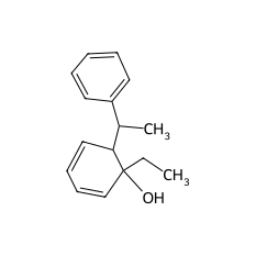 CCC1(O)C=CC=CC1C(C)c1ccccc1